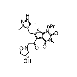 CCCn1c(=O)n(C)c(=O)c2c(C(=O)CN3C[C@H](O)CO3)c(Cc3c(C)n[nH]c3C)sc21